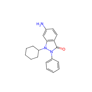 Nc1ccc2c(=O)n(-c3ccccc3)n(C3CCCCC3)c2c1